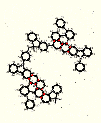 CC1(C)c2ccccc2-c2c(-c3cccc(N(c4ccc5c(c4)c4ccccc4n5-c4ccc(CC5(C)c6ccccc6-c6cc(-c7ccc(N(c8ccc9c(c8)c8ccccc8n9-c8ccccc8)c8cccc(-c9ccccc9)c8-c8ccccc8-c8ccccc8)cc7)ccc65)cc4)c4cccc(-c5ccccc5)c4-c4ccccc4-c4ccccc4)c3)cccc21